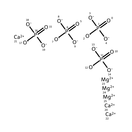 O=P([O-])([O-])[O-].O=P([O-])([O-])[O-].O=P([O-])([O-])[O-].O=P([O-])([O-])[O-].[Ca+2].[Ca+2].[Ca+2].[Mg+2].[Mg+2].[Mg+2]